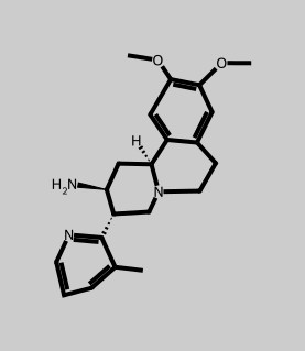 COc1cc2c(cc1OC)[C@@H]1C[C@H](N)[C@@H](c3ncccc3C)CN1CC2